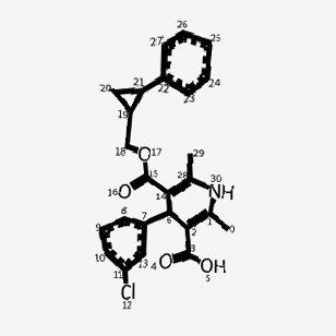 CC1=C(C(=O)O)C(c2cccc(Cl)c2)C(C(=O)OCC2CC2c2ccccc2)=C(C)N1